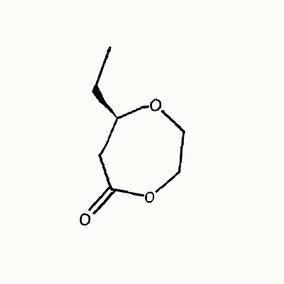 CC[C@@H]1CC(=O)OCCO1